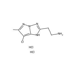 Cc1nn2nc(CCN)[nH]c2c1Cl.Cl.Cl